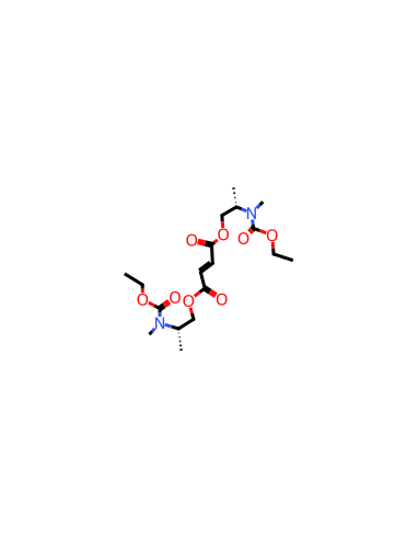 CCOC(=O)N(C)[C@@H](C)COC(=O)/C=C/C(=O)OC[C@H](C)N(C)C(=O)OCC